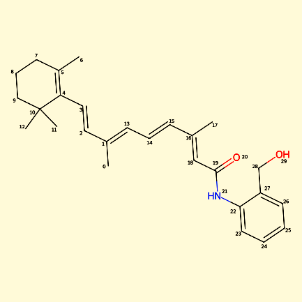 CC(C=CC1=C(C)CCCC1(C)C)=CC=CC(C)=CC(=O)Nc1ccccc1CO